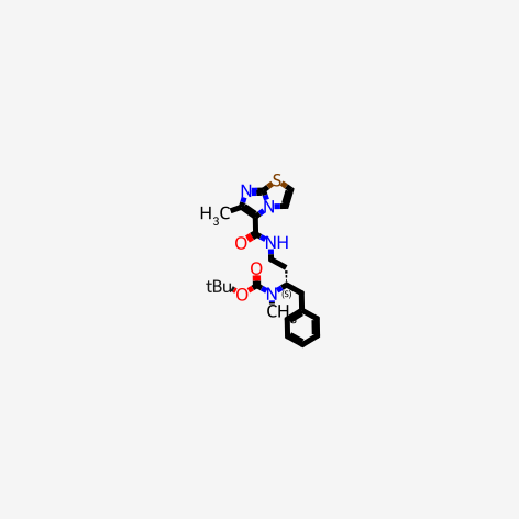 Cc1nc2sccn2c1C(=O)NCC[C@H](Cc1ccccc1)N(C)C(=O)OC(C)(C)C